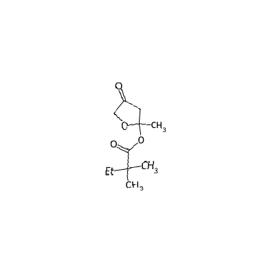 CCC(C)(C)C(=O)OC1(C)CC(=O)CO1